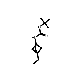 CCC12CC(NC(=O)OC(C)(C)C)(C1)C2